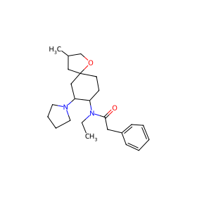 CCN(C(=O)Cc1ccccc1)C1CCC2(CC(C)CO2)CC1N1CCCC1